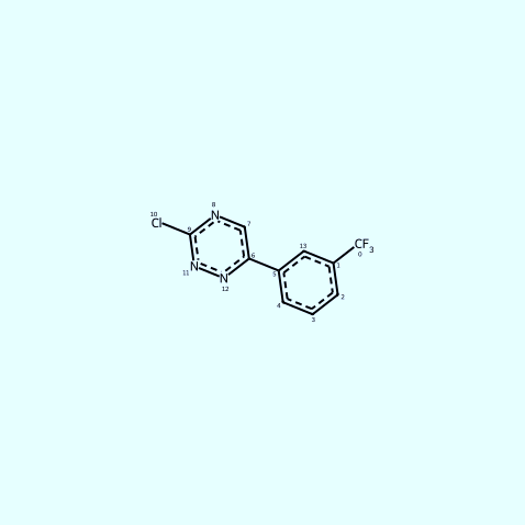 FC(F)(F)c1cccc(-c2cnc(Cl)nn2)c1